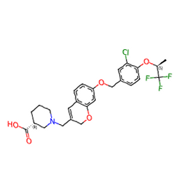 C[C@H](Oc1ccc(COc2ccc3c(c2)OCC(CN2CCC[C@@H](C(=O)O)C2)=C3)cc1Cl)C(F)(F)F